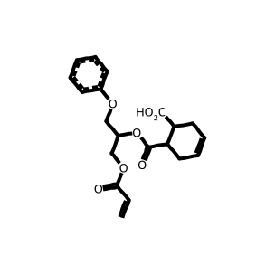 C=CC(=O)OCC(COc1ccccc1)OC(=O)C1CC=CCC1C(=O)O